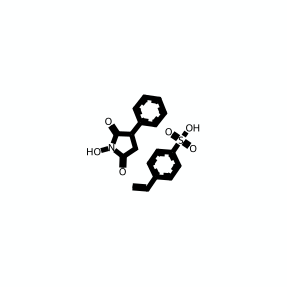 C=Cc1ccc(S(=O)(=O)O)cc1.O=C1CC(c2ccccc2)C(=O)N1O